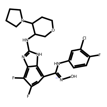 O/N=C(\Nc1ccc(F)c(Cl)c1)c1cc(F)c(F)c2nc(NC3COCCC3N3CCCC3)[nH]c12